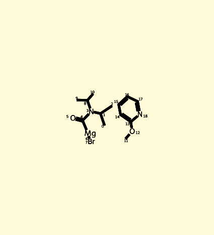 CC(C)N([C](=O)[Mg][Br])C(C)C.COc1ccccn1